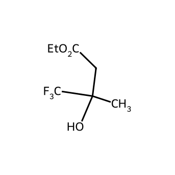 CCOC(=O)CC(C)(O)C(F)(F)F